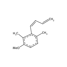 C=C/C=C\c1c(C)ccc(OC)c1C